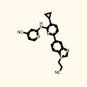 N#CCCn1cnc2cc(-c3ccc(C4CC4)c(Nc4cc(C#N)ccn4)n3)ccc21